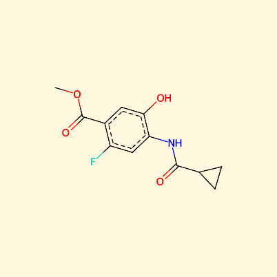 COC(=O)c1cc(O)c(NC(=O)C2CC2)cc1F